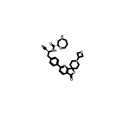 N#C[C@H](Cc1ccc(-c2ccc3c(n2)C2(CCN(C4COC4)CC2)OC3=O)cc1)NC(=O)[C@@H]1CNCCCO1